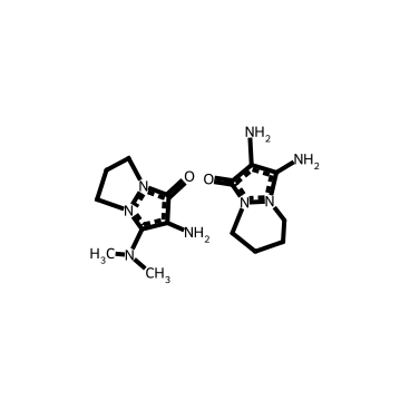 CN(C)c1c(N)c(=O)n2n1CCC2.Nc1c(N)n2n(c1=O)CCCC2